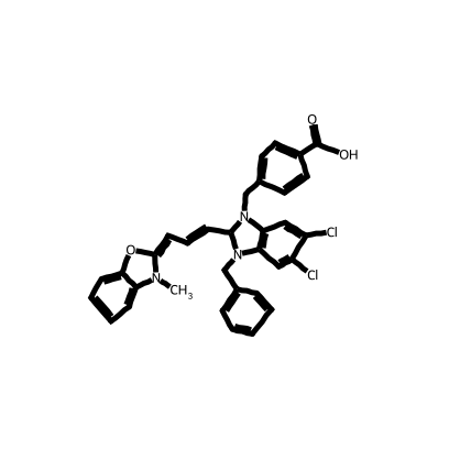 CN1C(=CC=CC2N(Cc3ccccc3)c3cc(Cl)c(Cl)cc3N2Cc2ccc(C(=O)O)cc2)Oc2ccccc21